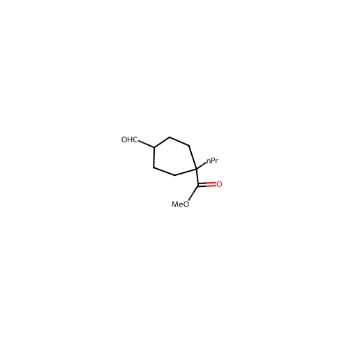 CCCC1(C(=O)OC)CCC(C=O)CC1